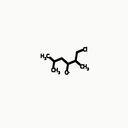 CC(C)CC([O])C(C)CCl